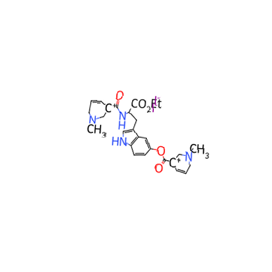 CCOC(=O)C(Cc1c[nH]c2ccc(OC(=O)[C+]3C=CCN(C)C3)cc12)NC(=O)[C+]1C=CCN(C)C1.[I-].[I-]